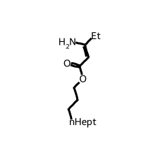 CCCCCCCCCCOC(=O)C=C(N)CC